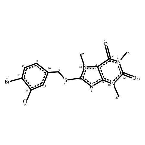 Cn1c(=O)c2c(nc(SCc3ccc(Br)c(Cl)c3)n2C)n(C)c1=O